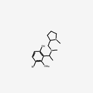 COc1c(Br)ccc(O)c1C(C)N(C)CC1CCCN1C